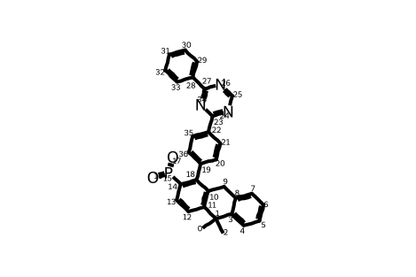 CC1(C)c2ccccc2Cc2c1ccc(P(=O)=O)c2-c1ccc(-c2ncnc(-c3ccccc3)n2)cc1